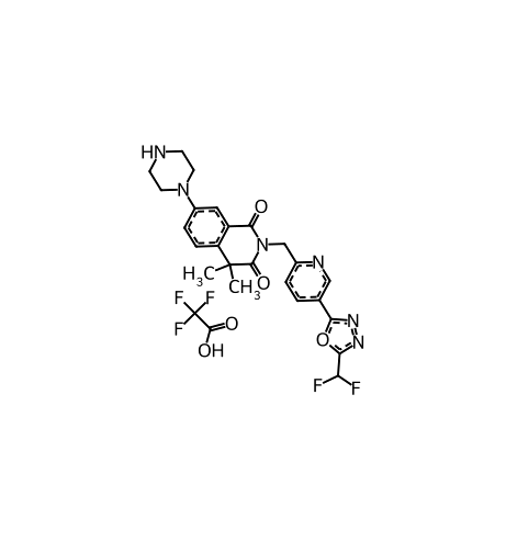 CC1(C)C(=O)N(Cc2ccc(-c3nnc(C(F)F)o3)cn2)C(=O)c2cc(N3CCNCC3)ccc21.O=C(O)C(F)(F)F